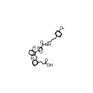 COc1ccc(CCCCNC(=O)c2coc([C@H]3[C@@H](Cc4ccccc4CCC(=O)O)[C@@H]4CC[C@H]3O4)n2)cc1